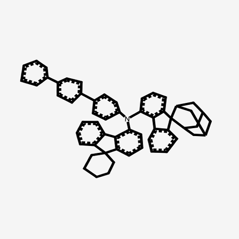 c1ccc(-c2ccc(-c3ccc(N(c4cccc5c4-c4ccccc4C54CCCCC4)c4cccc5c4-c4ccccc4C54C5CC6CC(C5)CC4C6)cc3)cc2)cc1